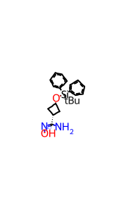 CC(C)(C)[Si](O[C@H]1C[C@@H](/C(N)=N/O)C1)(c1ccccc1)c1ccccc1